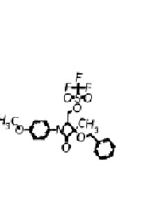 COc1ccc(N2C(=O)[C@](C)(OCc3ccccc3)[C@@H]2COS(=O)(=O)C(F)(F)F)cc1